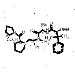 CN[C@H](C(=O)N[C@H](C(=O)N(C)[C@H](CN1CCCC[C@H]1C(=O)N1CCC[C@H]1C(=O)O)C(C)C)C(C)(C)C)C(C)(C)c1ccccc1